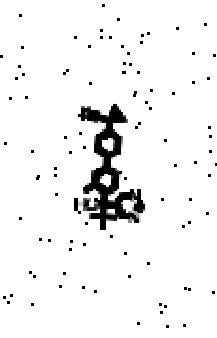 Cc1cc(-c2ccc(C3(C#N)CC3)cc2)ccc1C(O)(c1cncnc1)C(C)(C)C